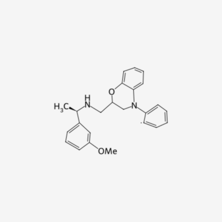 COc1cccc([C@@H](C)NCC2CN(c3[c]cccc3)c3ccccc3O2)c1